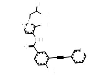 Cc1ccc(C(=O)Nc2cnn(CC(C)C)c2C)cc1C#Cc1cccnc1